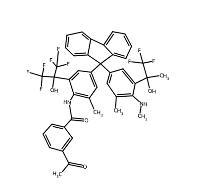 CNc1c(C)cc(C2(c3cc(C)c(NC(=O)c4cccc(C(C)=O)c4)c(C(O)(C(F)(F)F)C(F)(F)F)c3)c3ccccc3-c3ccccc32)cc1C(C)(O)C(F)(F)F